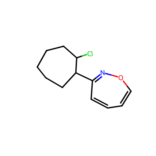 ClC1CCCCCC1C1=NOC=CC=C1